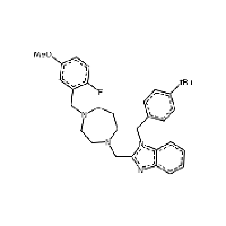 COc1ccc(F)c(CN2CCCN(Cc3nc4ccccc4n3Cc3ccc(C(C)(C)C)cc3)CC2)c1